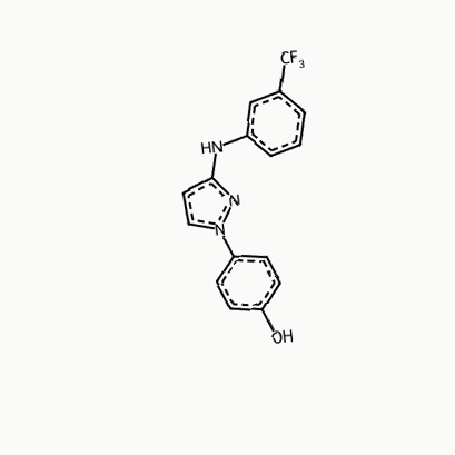 Oc1ccc(-n2ccc(Nc3cccc(C(F)(F)F)c3)n2)cc1